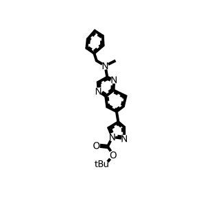 CN(Cc1ccccc1)c1cnc2cc(-c3cnn(C(=O)OC(C)(C)C)c3)ccc2n1